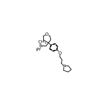 CC(C)N(C)CC1(c2ccc(OCCCN3CCCC3)cc2)CCOCC1